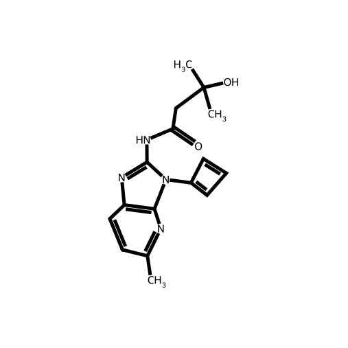 Cc1ccc2nc(NC(=O)CC(C)(C)O)n(C3=CC=C3)c2n1